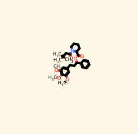 COc1cc(CCC(OC(=O)C2CCCCN2C(=O)CC(C)(C)C)c2ccccc2)cc(OC)c1OC